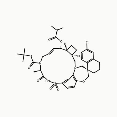 C[C@@H]1C(=O)NS(=O)(=O)c2ccc3c(c2)N(C[C@@H]2CC[C@H]2[C@@H](OC(=O)N(C)C)/C=C/CN1C(=O)OC(C)(C)C)C[C@@]1(CCCc2cc(Cl)ccc21)CO3